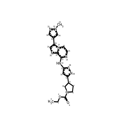 CCOC(=O)N1CCC(c2cc(Nc3nccn4c(-c5cnn(C)c5)cnc34)sn2)C1